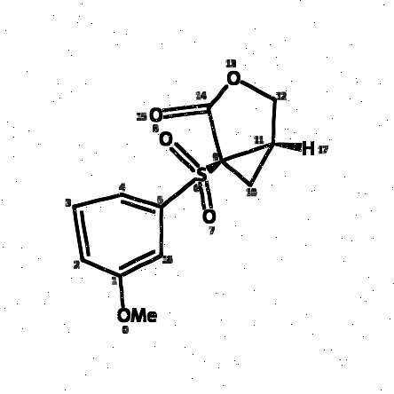 COc1cccc(S(=O)(=O)[C@]23C[C@H]2COC3=O)c1